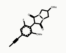 CC#Cc1cc(F)c(C2C(=O)N3CC(OC)CN3C2=O)c(OC)c1